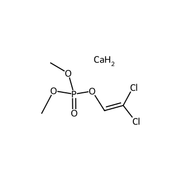 COP(=O)(OC)OC=C(Cl)Cl.[CaH2]